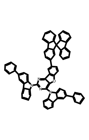 c1ccc(-c2ccc3c(c2)c2ccccc2n3-c2nc(-n3c4ccccc4c4cc(-c5ccccc5)ccc43)c3oc4ccc(-c5ccc6c(c5)C5(c7ccccc7-c7ccccc75)c5ccccc5-6)cc4c3n2)cc1